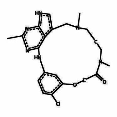 Cc1nc2c3c(c[nH]c3n1)CN(C)CCCN(C)C(=O)COc1cc(ccc1Cl)N2